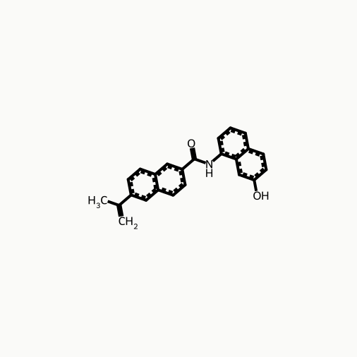 C=C(C)c1ccc2cc(C(=O)Nc3cccc4ccc(O)cc34)ccc2c1